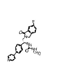 O=CNC(=O)N[C@@H](CN1Cc2ccc(F)cc2C1=O)c1ccc(-c2ccncc2)cc1